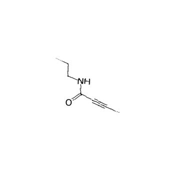 CC#CC(=O)NCCC